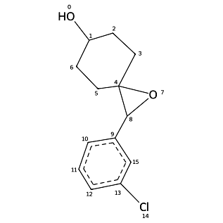 OC1CCC2(CC1)OC2c1cccc(Cl)c1